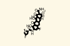 CN1C[C@H](F)C[C@H]1C(=O)Nc1cc(F)c2c(c1O)C(=O)C1=C(O)[C@]3(O)C(=O)C(C(N)=O)=C(O)C[C@@H]3CC1C2